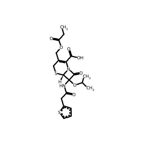 CCC(=O)OCC1=C(C(=O)O)N2C(=O)C(NC(=O)Cc3cccs3)(OC(C)C)[C@@H]2SC1